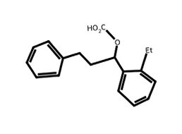 CCc1ccccc1C(CCc1ccccc1)OC(=O)O